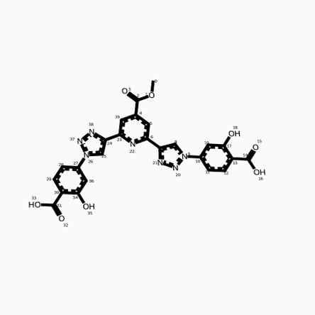 COC(=O)c1cc(-c2cn(-c3ccc(C(=O)O)c(O)c3)nn2)nc(-c2cn(-c3ccc(C(=O)O)c(O)c3)nn2)c1